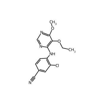 CCOc1c(Nc2ccc(C#N)cc2Cl)ncnc1OC